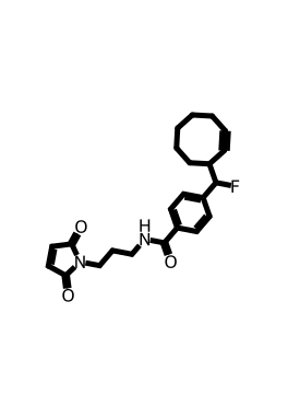 O=C(NCCCN1C(=O)C=CC1=O)c1ccc(C(F)C2C#CCCCCC2)cc1